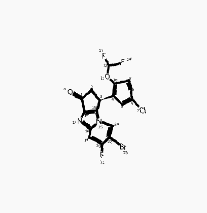 O=C1C[C@@H](c2cc(Cl)ccc2OC(F)F)c2c1nc1cc(F)c(Br)cn21